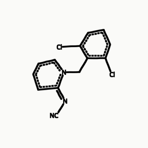 N#CN=c1ccccn1Cc1c(Cl)cccc1Cl